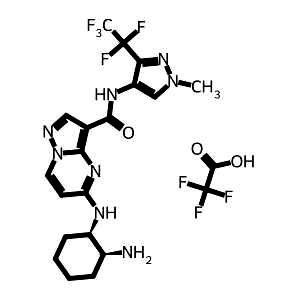 Cn1cc(NC(=O)c2cnn3ccc(N[C@@H]4CCCC[C@@H]4N)nc23)c(C(F)(F)C(F)(F)F)n1.O=C(O)C(F)(F)F